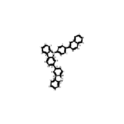 c1ccc2cc(-c3ccc(-n4c5ccccc5c5ccc(-c6ccc7oc8ccccc8c7c6)cc54)cc3)ccc2c1